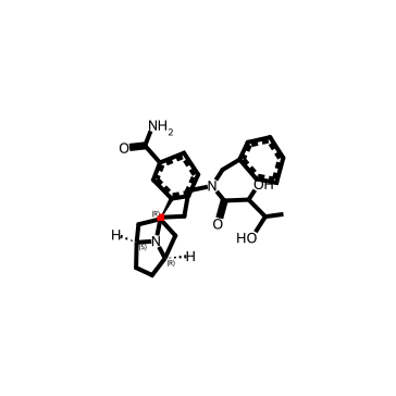 CC(O)C(O)C(=O)N(CCCN1[C@@H]2CC[C@H]1C[C@@H](c1cccc(C(N)=O)c1)C2)Cc1ccccc1